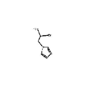 CCCCC(CC)Cn1ccnc1